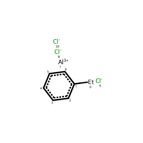 CCc1ccccc1.[Al+3].[Cl-].[Cl-].[Cl-]